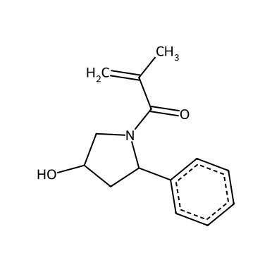 C=C(C)C(=O)N1CC(O)CC1c1ccccc1